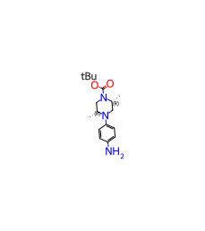 C[C@@H]1CN(c2ccc(N)cc2)[C@H](C)CN1C(=O)OC(C)(C)C